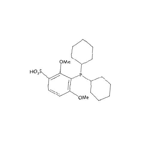 COc1ccc(S(=O)(=O)O)c(OC)c1P(C1CCCCC1)C1CCCCC1